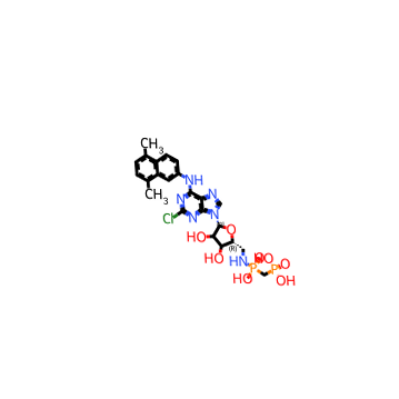 Cc1ccc(C)c2cc(Nc3nc(Cl)nc4c3ncn4[C@@H]3O[C@H](CNP(=O)(O)CP(=O)(O)O)C(O)C3O)ccc12